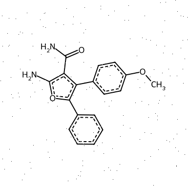 COc1ccc(-c2c(-c3ccccc3)oc(N)c2C(N)=O)cc1